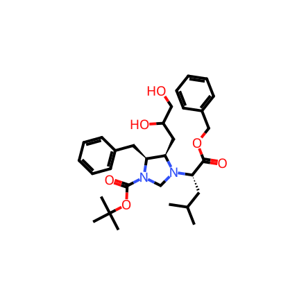 CC(C)C[C@@H](C(=O)OCc1ccccc1)N1CN(C(=O)OC(C)(C)C)[C@@H](Cc2ccccc2)[C@H]1CC(O)CO